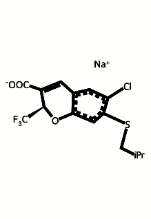 CC(C)CSc1cc2c(cc1Cl)C=C(C(=O)[O-])[C@H](C(F)(F)F)O2.[Na+]